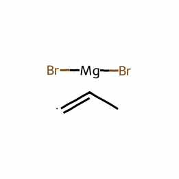 [Br][Mg][Br].[CH]=CC